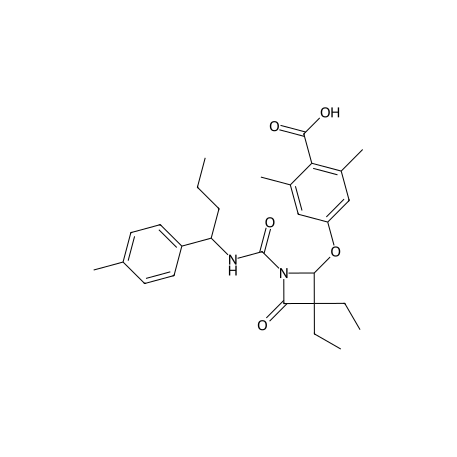 CCCC(NC(=O)N1C(=O)C(CC)(CC)C1Oc1cc(C)c(C(=O)O)c(C)c1)c1ccc(C)cc1